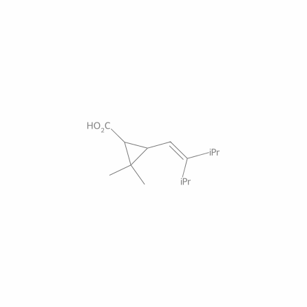 CC(C)C(=CC1C(C(=O)O)C1(C)C)C(C)C